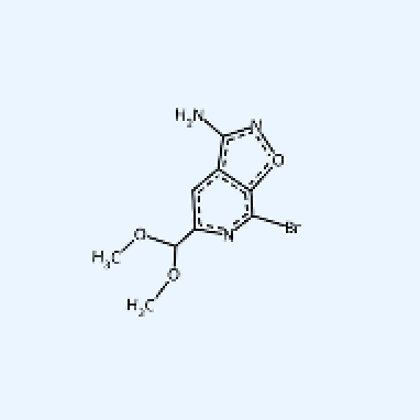 COC(OC)c1cc2c(N)noc2c(Br)n1